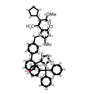 CCCCc1nc(Cl)c(C(C)=C(C(=O)OC)C2CCCC2)n1Cc1ccc(-c2ccccc2-c2nnnn2C(c2ccccc2)(c2ccccc2)c2ccccc2)cc1